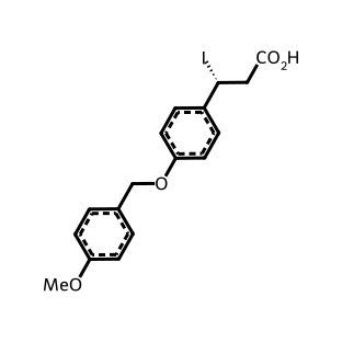 COc1ccc(COc2ccc([C@H](I)CC(=O)O)cc2)cc1